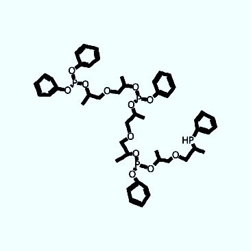 CC(COCC(C)OP(Oc1ccccc1)OC(C)COCC(C)OP(Oc1ccccc1)OC(C)COCC(C)Pc1ccccc1)OP(Oc1ccccc1)Oc1ccccc1